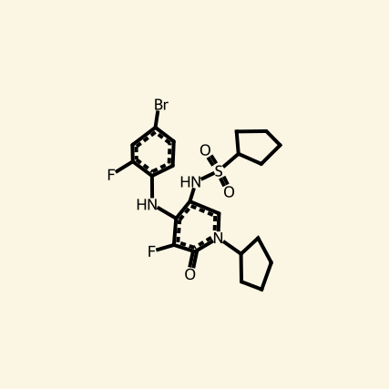 O=c1c(F)c(Nc2ccc(Br)cc2F)c(NS(=O)(=O)C2CCCC2)cn1C1CCCC1